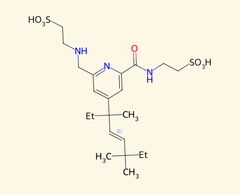 CCC(C)(C)/C=C/C(C)(CC)c1cc(CNCCS(=O)(=O)O)nc(C(=O)NCCS(=O)(=O)O)c1